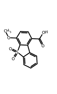 COc1ccc(C(=O)O)c2c1S(=O)(=O)c1ccccc1-2